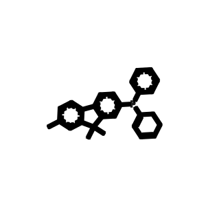 Cc1ccc2c(c1)C(C)(C)c1cc(P(C3=CC=CCC3)c3ccccc3)ccc1-2